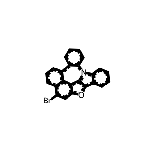 Brc1cc2oc3c4ccccc4n4c5ccccc5c5cccc1c5c2c34